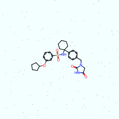 O=C1CN(Cc2ccc(C3(NS(=O)(=O)c4cccc(OC5CCCC5)c4)CCCCC3)cc2)C(=O)N1